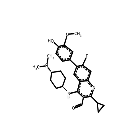 COc1cc(-c2cc3c(N[C@H]4CC[C@H](N(C)C)CC4)c(C=O)c(C4CC4)nc3cc2F)ccc1O